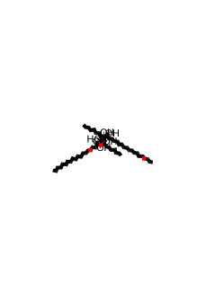 CCCCCCCCCCCCCCCCCCC(O)[C@](O)(CCCCCCCC)[C@@H](O)[C@H](O)[C@@](O)(CCCCCCCC)C(O)CCCCCCCCCCCCCCCCCC